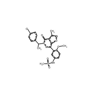 COc1ccc(NS(C)(=O)=O)cc1-c1nn(C(C)c2ccc(Cl)cc2)c(=O)c2c(C)noc12